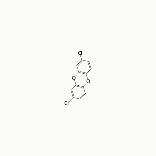 Clc1ccc2c(c1)Oc1cc(Cl)ccc1O2